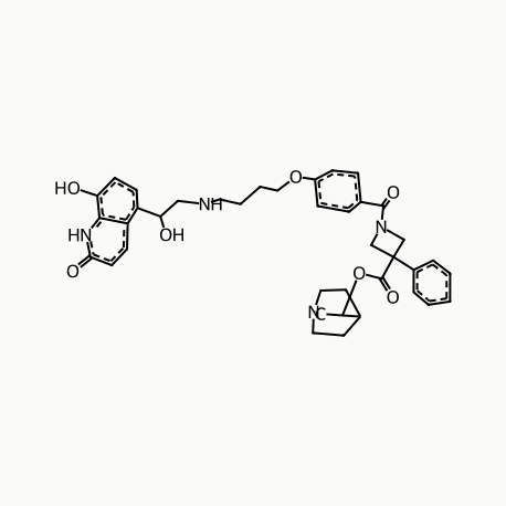 O=C(c1ccc(OCCCCNCC(O)c2ccc(O)c3[nH]c(=O)ccc23)cc1)N1CC(C(=O)OC2CN3CCC2CC3)(c2ccccc2)C1